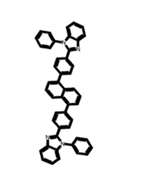 c1ccc(-n2c(-c3ccc(-c4cccc5c(-c6ccc(-c7nc8ccccc8n7-c7ccccc7)cc6)cccc45)cc3)nc3ccccc32)cc1